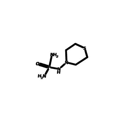 NP(N)(=O)NN1CCSCC1